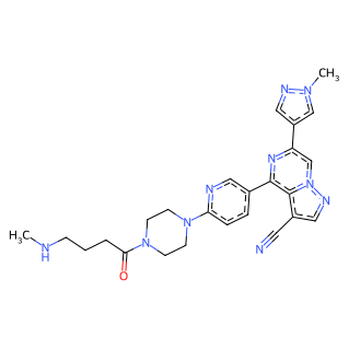 CNCCCC(=O)N1CCN(c2ccc(-c3nc(-c4cnn(C)c4)cn4ncc(C#N)c34)cn2)CC1